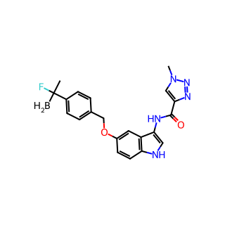 BC(C)(F)c1ccc(COc2ccc3[nH]cc(NC(=O)c4cn(C)nn4)c3c2)cc1